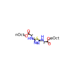 CCCCCCCCOC(=O)CNc1nnc(NCC(=O)OCCCCCCCC)s1